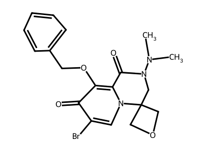 CN(C)N1CC2(COC2)n2cc(Br)c(=O)c(OCc3ccccc3)c2C1=O